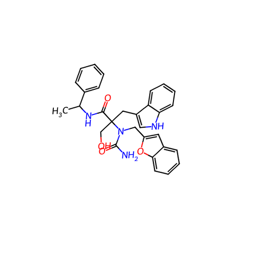 CC(NC(=O)C(CO)(Cc1c[nH]c2ccccc12)N(Cc1cc2ccccc2o1)C(N)=O)c1ccccc1